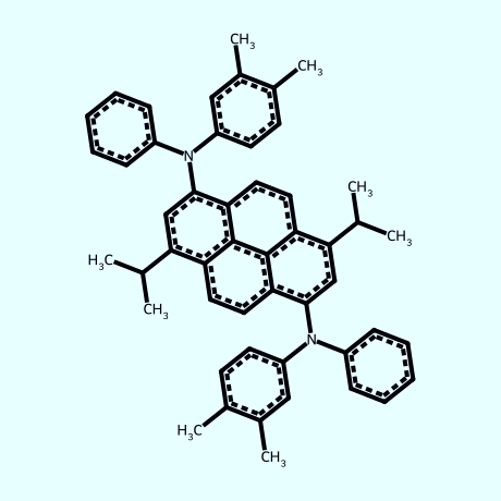 Cc1ccc(N(c2ccccc2)c2cc(C(C)C)c3ccc4c(N(c5ccccc5)c5ccc(C)c(C)c5)cc(C(C)C)c5ccc2c3c54)cc1C